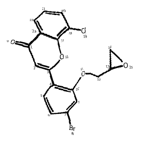 O=c1cc(-c2ccc(Br)cc2OCC2CO2)oc2c(Cl)cccc12